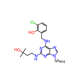 CCCCCn1cnc2c(NCc3cccc(Cl)c3O)nc(NCCC(C)(C)O)nc21